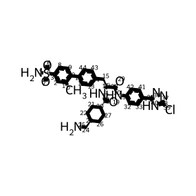 Cc1cc(S(N)(=O)=O)ccc1-c1ccc(C[C@H](NC(=O)[C@H]2CC[C@H](CN)CC2)C(=O)Nc2ccc(-c3nnc(Cl)[nH]3)cc2)cc1